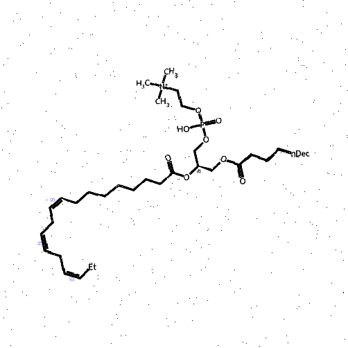 CC/C=C\C/C=C\C/C=C\CCCCCCCC(=O)O[C@H](COC(=O)CCCCCCCCCCCCC)COP(=O)(O)OCC[N+](C)(C)C